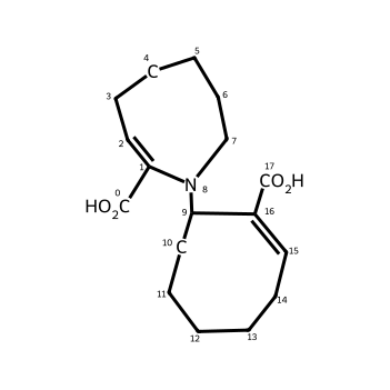 O=C(O)/C1=C/CCCCCN1C1CCCCC/C=C\1C(=O)O